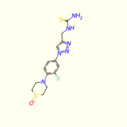 NC(=S)NCc1cn(-c2ccc(N3CC[S+]([O-])CC3)c(F)c2)nn1